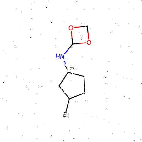 CCC1CC[C@@H](NC2OCO2)C1